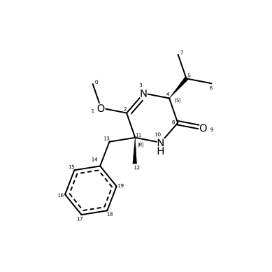 COC1=N[C@@H](C(C)C)C(=O)N[C@]1(C)Cc1ccccc1